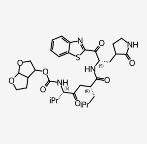 CC(C)C[C@H](CC(=O)[C@@H](NC(=O)OC1COC2OCCC12)C(C)C)C(=O)N[C@@H](CC1CCNC1=O)C(=O)c1nc2ccccc2s1